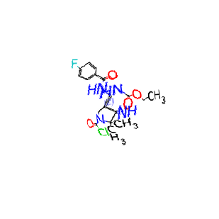 CCOC(=O)N/C(NC(=O)c1ccc(F)cc1)=C1/CN(C(=O)Cl)C(C)(C)C1=N